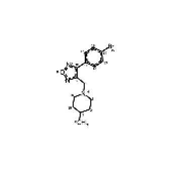 CC1CCN(Cc2nonc2-c2ccc(Br)cc2)CC1